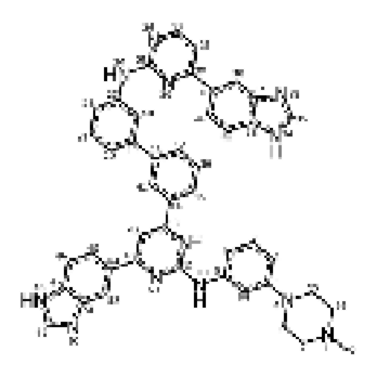 CN1CCN(c2cccc(Nc3nc(-c4cccc(-c5cccc(Nc6nccc(-c7ccc8[nH]cnc8c7)n6)c5)c4)cc(-c4ccc5[nH]cnc5c4)n3)c2)CC1